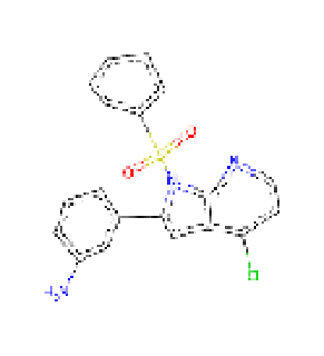 Nc1cccc(-c2cc3c(Cl)ccnc3n2S(=O)(=O)c2ccccc2)c1